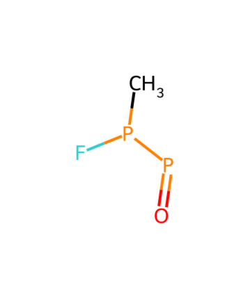 CP(F)P=O